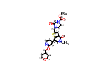 Cn1cc(-c2ccnc(OCC3CCOCC3)c2)c2sc(CN3CCN(C(=O)OC(C)(C)C)CC3=O)cc2c1=O